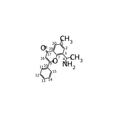 Cc1cc(C(C)N)c2oc(-c3ccccc3)cc(=O)c2c1